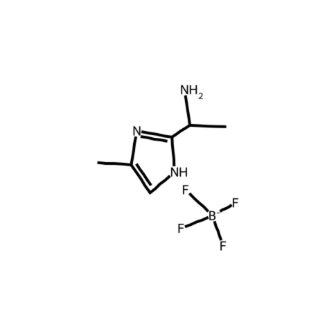 Cc1c[nH]c(C(C)N)n1.F[B-](F)(F)F